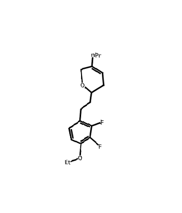 CCCC1=CCC(CCc2ccc(OCC)c(F)c2F)OC1